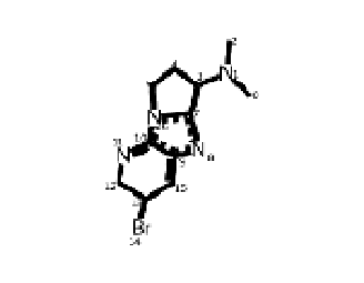 CN(C)C1CCn2c1nc1c2=NCC(Br)C=1